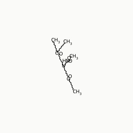 CCCCCCCCCOC(=O)CCCCCCCN(CCCCCCCC(=O)OC(CCCCCCCC)CCCCCCCC)CCCNC(=O)OCC